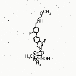 COCCNCc1ccc(-c2ccc3c(c2)C(F)=CN(CC[C@](C)(C(=O)NO)S(C)(=O)=O)C3)c(F)c1